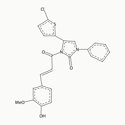 COc1cc(C=CC(=O)n2c(-c3ccc(Cl)s3)cn(-c3ccccc3)c2=O)ccc1O